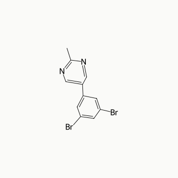 Cc1ncc(-c2cc(Br)cc(Br)c2)cn1